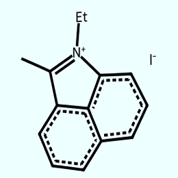 CC[N+]1=C(C)c2cccc3cccc1c23.[I-]